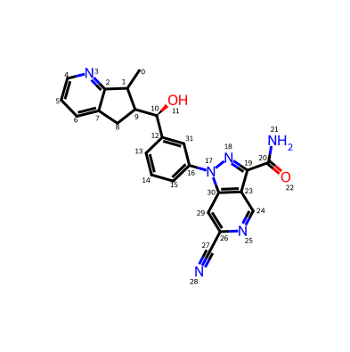 CC1c2ncccc2CC1[C@@H](O)c1cccc(-n2nc(C(N)=O)c3cnc(C#N)cc32)c1